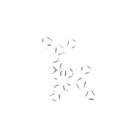 c1ccc(-c2cc(-c3ccccc3)cc(-c3oc4c(c(-c5ccccc5)nc5ccccc54)c3-c3cccc(-c4cccc(-c5cc(-c6ccccc6)nc(-c6ccccc6)n5)c4)c3)c2)cc1